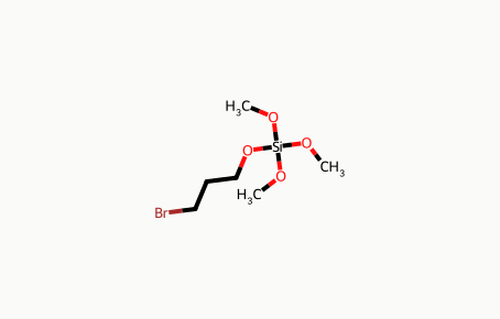 CO[Si](OC)(OC)OCCCBr